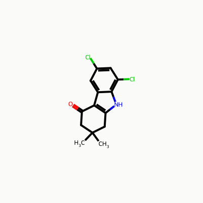 CC1(C)CC(=O)c2c([nH]c3c(Cl)cc(Cl)cc23)C1